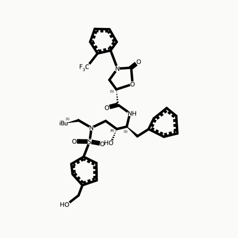 CC[C@H](C)CN(C[C@@H](O)[C@H](Cc1ccccc1)NC(=O)[C@@H]1CN(c2ccccc2C(F)(F)F)C(=O)O1)S(=O)(=O)c1ccc(CO)cc1